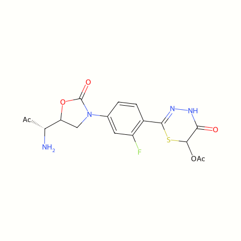 CC(=O)OC1SC(c2ccc(N3CC([C@H](N)C(C)=O)OC3=O)cc2F)=NNC1=O